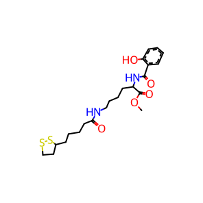 COC(=O)C(CCCCNC(=O)CCCCC1CCSS1)NC(=O)c1ccccc1O